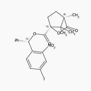 CC(C)[C@H](OC(=O)[C@@]12CC[C@@](C)(C(=O)O1)C2(C)C)c1ccc(I)cc1[N+](=O)[O-]